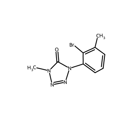 Cc1cccc(-n2nnn(C)c2=O)c1Br